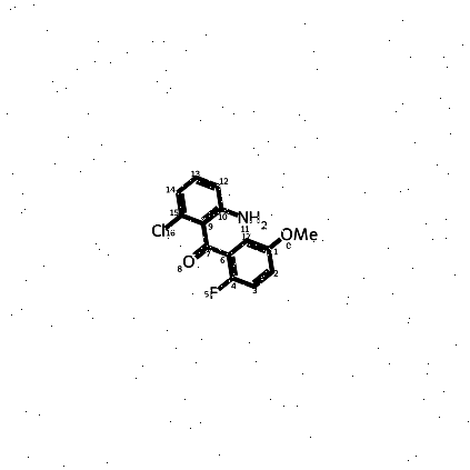 COc1ccc(F)c(C(=O)c2c(N)cccc2Cl)c1